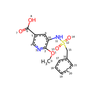 COc1ncc(C(=O)O)cc1NS(=O)(=O)Cc1ccccc1